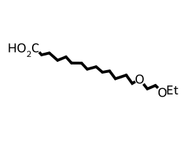 [CH2]COCCOCCCCCCCCCCCCCC(=O)O